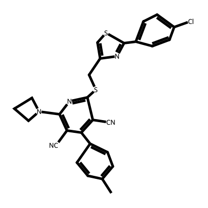 Cc1ccc(-c2c(C#N)c(SCc3csc(-c4ccc(Cl)cc4)n3)nc(N3CCC3)c2C#N)cc1